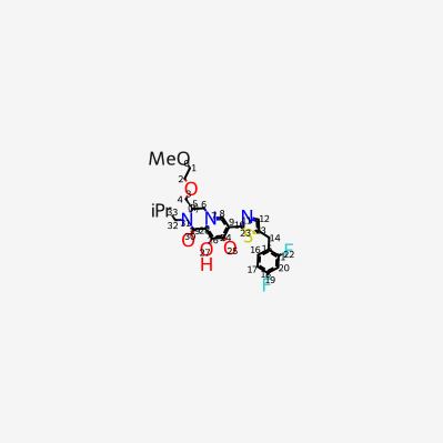 COCCOC[C@H]1Cn2cc(-c3ncc(Cc4ccc(F)cc4F)s3)c(=O)c(O)c2C(=O)N1CC(C)C